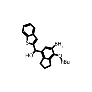 Bc1cc(C(O)c2cc3ccccc3s2)c2c(c1OCCCC)CCC2